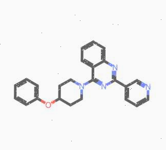 c1ccc(OC2CCN(c3nc(-c4cccnc4)nc4ccccc34)CC2)cc1